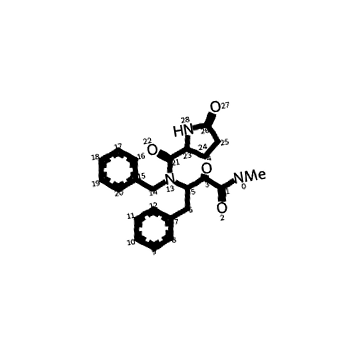 CNC(=O)C(=O)C(Cc1ccccc1)N(Cc1ccccc1)C(=O)C1CCC(=O)N1